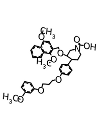 COc1cccc(OCCCOc2ccc(C3CCN(C(=O)O)CC3OCc3cc(OC)c4ccccc4c3OC)cc2)c1